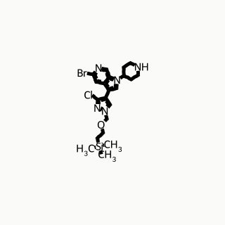 C[Si](C)(C)CCOCn1cc(-c2cn(C3CCNCC3)c3cnc(Br)cc23)c(Cl)n1